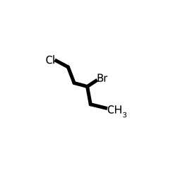 CCC(Br)CCCl